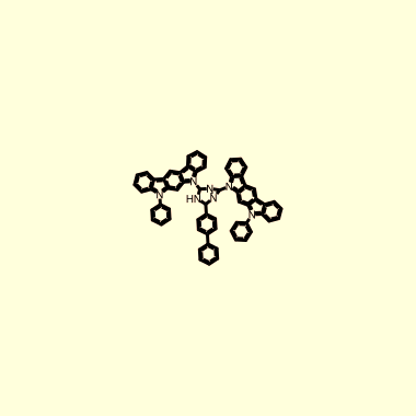 c1ccc(-c2ccc(C3NC(n4c5ccccc5c5cc6c7ccccc7n(-c7ccccc7)c6cc54)N4C(n5c6ccccc6c6cc7c8ccccc8n(-c8ccccc8)c7cc65)N34)cc2)cc1